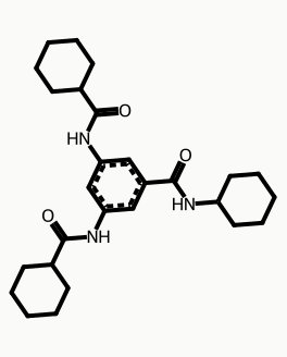 O=C(NC1CCCCC1)c1cc(NC(=O)C2CCCCC2)cc(NC(=O)C2CCCCC2)c1